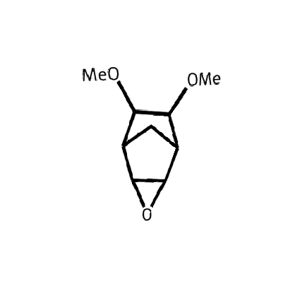 COC1C2CC(C1OC)C1OC21